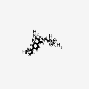 CS(=O)(=O)NCCn1cc2c(n1)c(N)nc1cc(-c3cc[nH]n3)ccc12